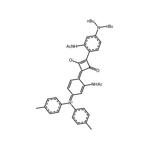 CCCCN(CCCC)c1ccc(C2=C([O-])/C(=C3\C=CC(=[N+](c4ccc(C)cc4)c4ccc(C)cc4)C=C3NC(C)=O)C2=O)c(NC(C)=O)c1